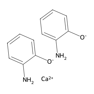 Nc1ccccc1[O-].Nc1ccccc1[O-].[Ca+2]